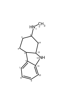 CNC1CCC2c3ccccc3NC2C1